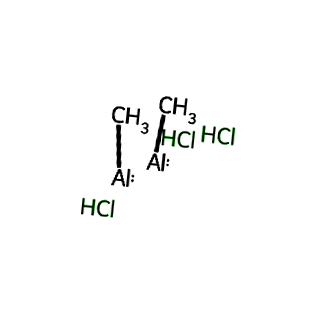 Cl.Cl.Cl.[CH3][Al].[CH3][Al]